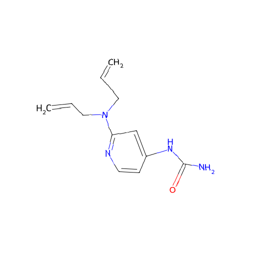 C=CCN(CC=C)c1cc(NC(N)=O)ccn1